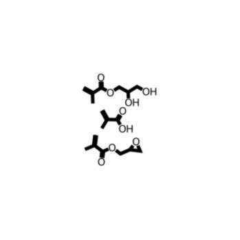 C=C(C)C(=O)O.C=C(C)C(=O)OCC(O)CO.C=C(C)C(=O)OCC1CO1